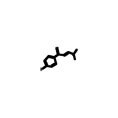 CN(C)/C=C/C(=O)c1ccc(F)cc1